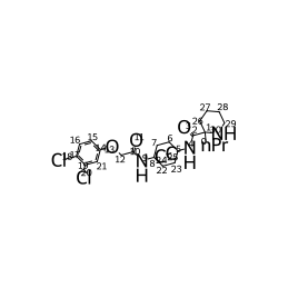 CCCC1(C(=O)NC23CCC(NC(=O)COc4ccc(Cl)c(Cl)c4)(CC2)CC3)CCCCN1